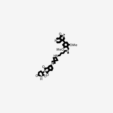 COc1cc(-c2cn(C)c(=O)c3cnccc23)cc(OC)c1CN(C)CCCCNC1CC2(C1)CN(c1ccc3c(c1)C(=O)N(C1CCC(=O)NC1=O)C3=O)C2